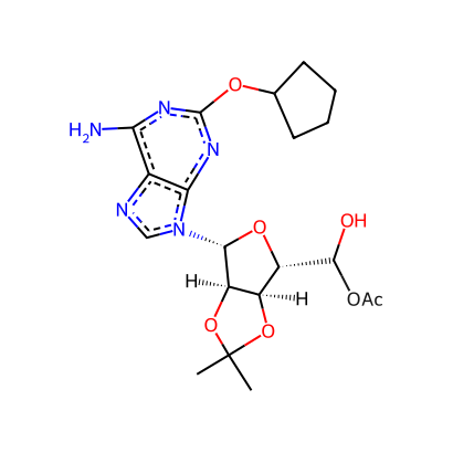 CC(=O)OC(O)[C@H]1O[C@@H](n2cnc3c(N)nc(OC4CCCC4)nc32)[C@@H]2OC(C)(C)O[C@@H]21